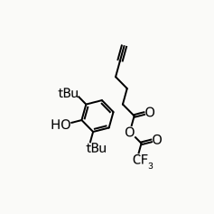 C#CCCCC(=O)OC(=O)C(F)(F)F.CC(C)(C)c1cccc(C(C)(C)C)c1O